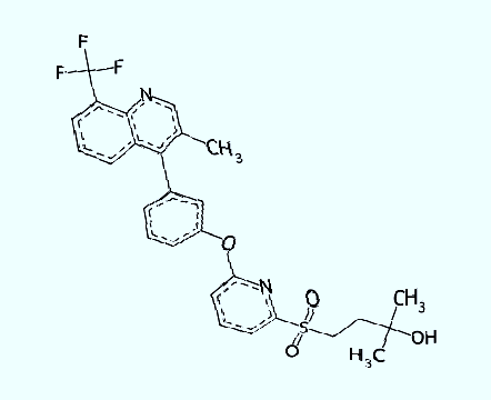 Cc1cnc2c(C(F)(F)F)cccc2c1-c1cccc(Oc2cccc(S(=O)(=O)CCC(C)(C)O)n2)c1